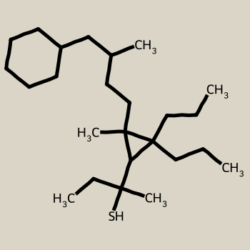 CCCC1(CCC)C(C(C)(S)CC)C1(C)CCC(C)CC1CCCCC1